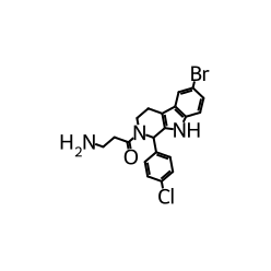 NCCC(=O)N1CCc2c([nH]c3ccc(Br)cc23)C1c1ccc(Cl)cc1